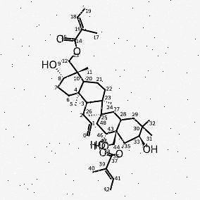 C=CCC1[C@@]2(C)CC[C@H](O)[C@](C)(COC(=O)/C(C)=C/C)C2CC[C@@]1(C)[C@@]1(C)CC2CC(C)(C)[C@@H](O)[C@H](OC(=O)/C(C)=C/C)[C@]2(CO)[C@H](O)C1